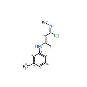 CC/N=C(Cl)\C=C(/C)Nc1cccc(C(F)(F)F)c1